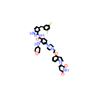 O=C1CCC(n2ccc3c(OCCN4CCN(c5ccc(C(=O)Nc6n[nH]c7ccc(Cc8cc(F)cc(F)c8)cc67)c(NC6CCOCC6)c5)CC4)cccc32)C(=O)N1